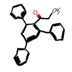 CCC(=O)c1c(-c2ccccc2)cc(-c2ccccc2)cc1-c1ccccc1